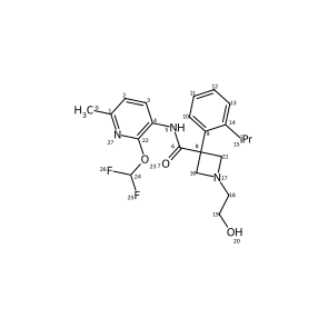 Cc1ccc(NC(=O)C2(c3ccccc3C(C)C)CN(CCO)C2)c(OC(F)F)n1